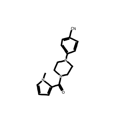 Cn1cccc1C(=O)N1CCN(c2ccc(C#N)cc2)CC1